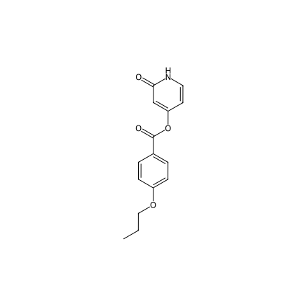 CCCOc1ccc(C(=O)Oc2cc[nH]c(=O)c2)cc1